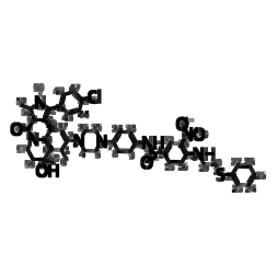 CC1C(N2CCN(c3ccc(N[S+]([O-])c4ccc(NCCSc5ccccc5)c([N+](=O)[O-])c4)cc3)CC2)=CC2(C)C3=C(c4ccc(Cl)cc4)N(C)C(C)C3C(=O)N3CCC(C)(O)C1=C32